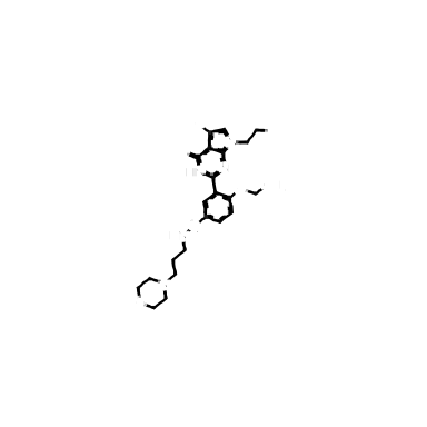 CCCn1cc(C)c2c(=O)[nH]c(-c3cc(S(=O)(=O)NCCCN4CCOCC4)ccc3OCC)nc21